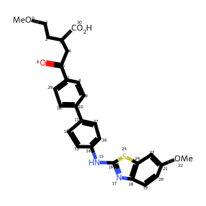 COCCC(CC(=O)c1ccc(-c2ccc(Nc3nc4ccc(OC)cc4s3)cc2)cc1)C(=O)O